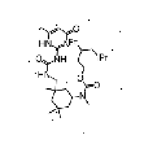 CCC(CCOC(=O)N(C)C1CC(C)(C)CC(C)(CNC(=O)Nc2nc(=O)cc(C)[nH]2)C1)CC(C)C